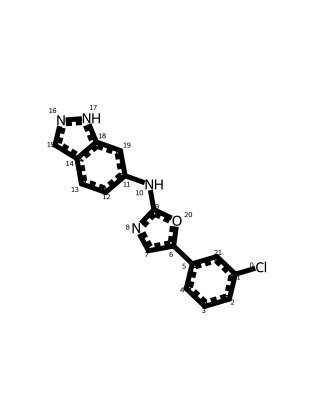 Clc1cccc(-c2cnc(Nc3ccc4cn[nH]c4c3)o2)c1